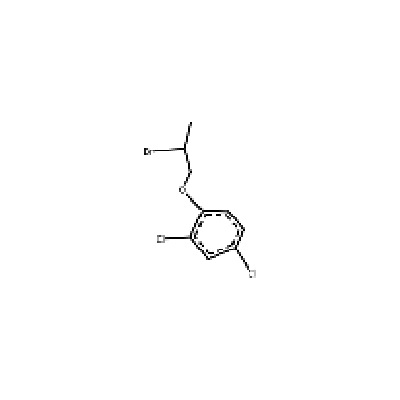 CC(Br)COc1ccc(Cl)cc1Cl